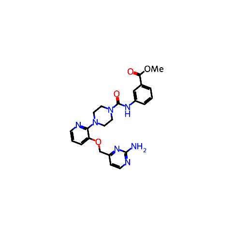 COC(=O)c1cccc(NC(=O)N2CCN(c3ncccc3OCc3ccnc(N)n3)CC2)c1